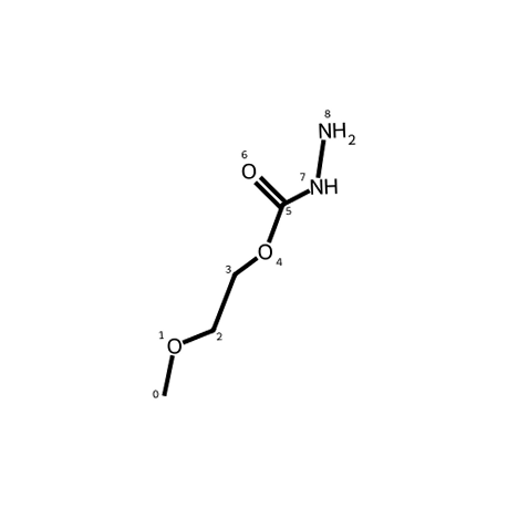 COCCOC(=O)NN